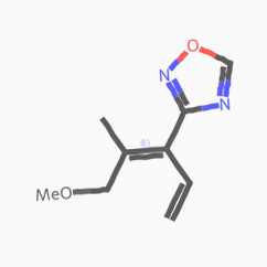 C=C/C(=C(/C)COC)c1ncon1